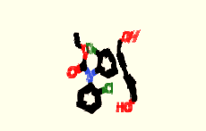 CCOC(=O)N(c1ccccc1Cl)c1ccccc1Cl.OCC#CC#CCO